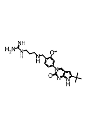 COc1cc(-n2cc3cc(C(C)(C)C)[nH]c3nc2=O)ccc1CNCCCNC(=N)N